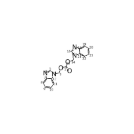 O=C(OCn1cnc2ccccc21)OCn1cnc2ccccc21